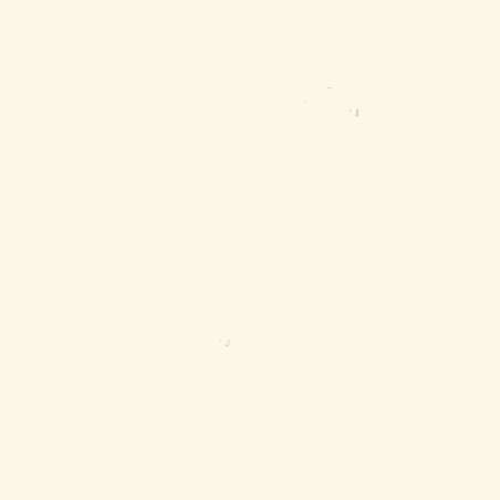 CCCCOc1ccc(Cl)cc1C(=O)NCCc1ccc(-c2ccc(OC(C)(C)C(N)=O)cc2)cc1